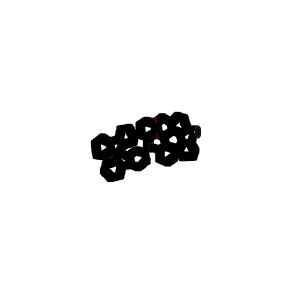 C1=C=C(c2ccccc2N(C2=CC3=C(CC2)c2ccccc2C32c3ccccc3-c3ccccc32)c2ccccc2)c2c(ccc3oc4ccccc4c23)C=1